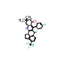 CC1(C)CC(=O)c2c(nc(C3CCCC3)c(C(F)c3ccc(C(F)(F)F)cc3)c2-c2ccc(F)cc2)C1